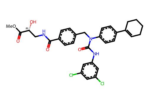 COC(=O)[C@H](O)CNC(=O)c1ccc(CN(C(=O)Nc2cc(Cl)cc(Cl)c2)c2ccc(C3=CCCCC3)cc2)cc1